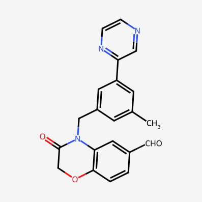 Cc1cc(CN2C(=O)COc3ccc(C=O)cc32)cc(-c2cnccn2)c1